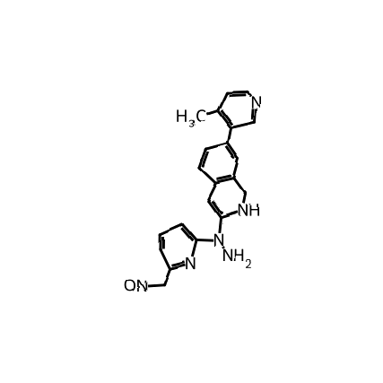 Cc1ccncc1-c1ccc2c(c1)CNC(N(N)c1cccc(CN=O)n1)=C2